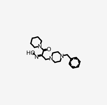 O=C(/C(CN1CCN(Cc2ccccc2)CC1)=N\O)N1CCCCC1